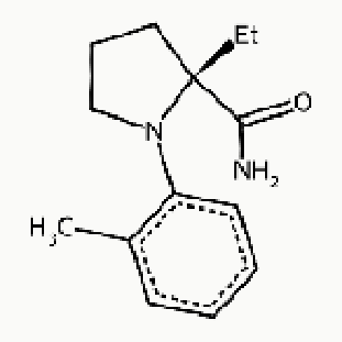 CC[C@]1(C(N)=O)CCCN1c1ccccc1C